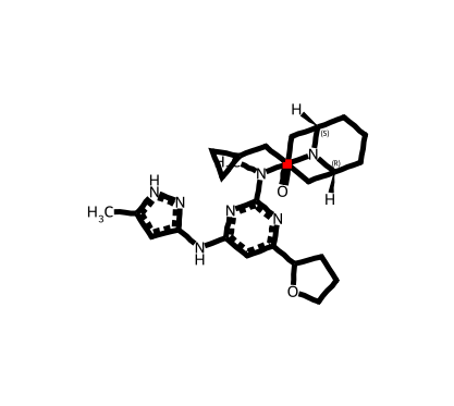 Cc1cc(Nc2cc(C3CCCO3)nc(N(C)C3C[C@H]4CCC[C@@H](C3)N4C(=O)CC3CC3)n2)n[nH]1